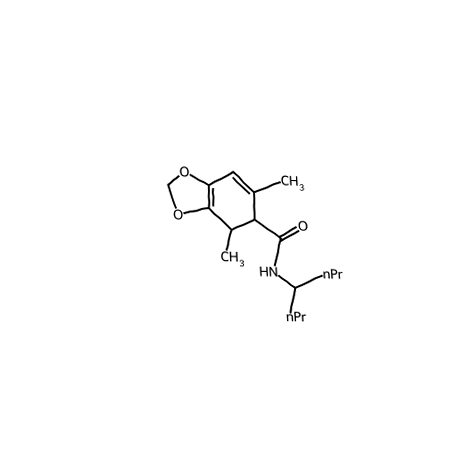 CCCC(CCC)NC(=O)C1C(C)=CC2=C(OCO2)C1C